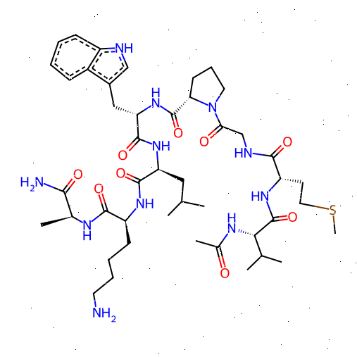 CSCC[C@H](NC(=O)[C@@H](NC(C)=O)C(C)C)C(=O)NCC(=O)N1CCC[C@H]1C(=O)N[C@@H](Cc1c[nH]c2ccccc12)C(=O)N[C@@H](CC(C)C)C(=O)N[C@@H](CCCCN)C(=O)N[C@@H](C)C(N)=O